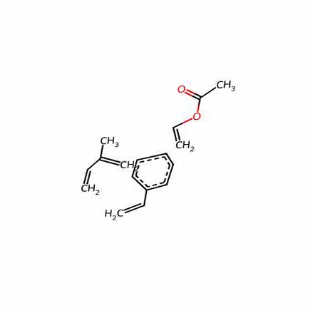 C=CC(=C)C.C=COC(C)=O.C=Cc1ccccc1